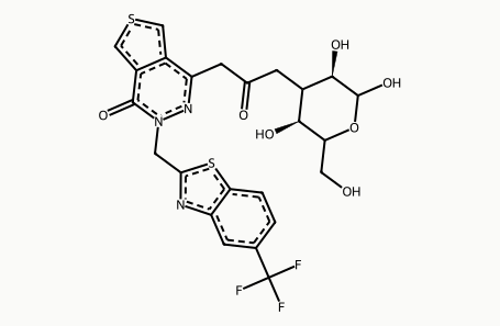 O=C(Cc1nn(Cc2nc3cc(C(F)(F)F)ccc3s2)c(=O)c2cscc12)CC1[C@H](O)C(CO)OC(O)[C@@H]1O